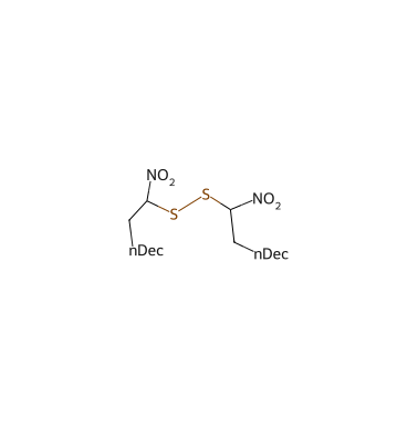 CCCCCCCCCCCC(SSC(CCCCCCCCCCC)[N+](=O)[O-])[N+](=O)[O-]